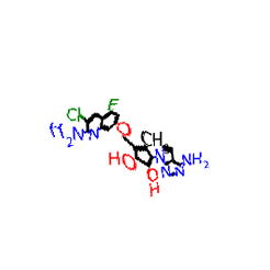 CC1=C(COc2cc(F)c3cc(Cl)c(N)nc3c2)[C@@H](O)[C@@H](O)[C@@H]1n1ccc2c(N)ncnc21